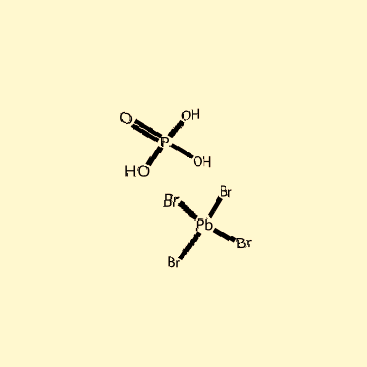 O=P(O)(O)O.[Br][Pb]([Br])([Br])[Br]